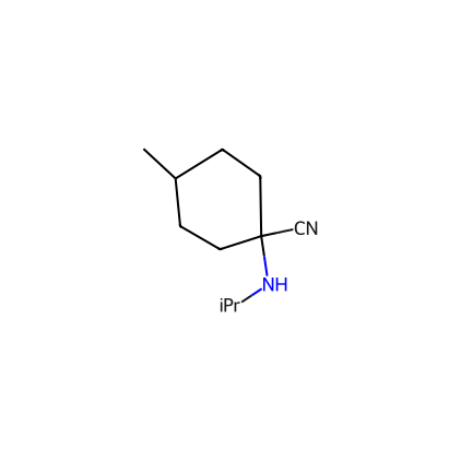 CC1CCC(C#N)(NC(C)C)CC1